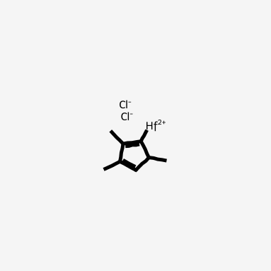 CC1=CC(C)[C]([Hf+2])=C1C.[Cl-].[Cl-]